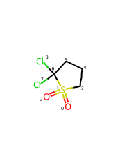 O=S1(=O)CCCC1(Cl)Cl